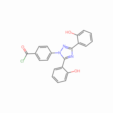 O=C(Cl)c1ccc(-n2nc(-c3ccccc3O)nc2-c2ccccc2O)cc1